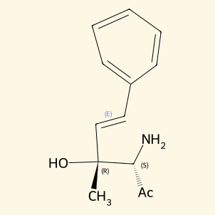 CC(=O)[C@@H](N)[C@](C)(O)/C=C/c1ccccc1